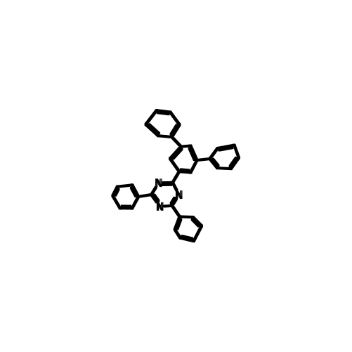 c1ccc(-c2cc(-c3ccccc3)cc(-c3nc(-c4ccccc4)nc(-c4ccccc4)n3)c2)cc1